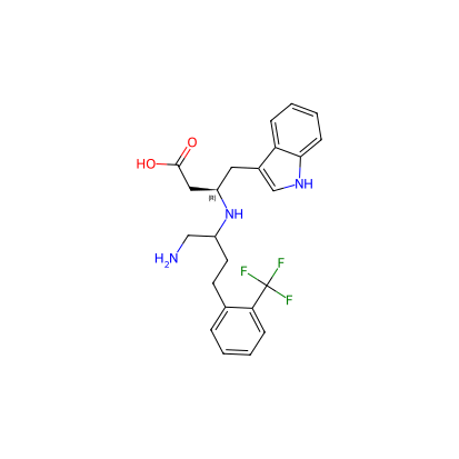 NCC(CCc1ccccc1C(F)(F)F)N[C@@H](CC(=O)O)Cc1c[nH]c2ccccc12